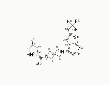 C[C@@H]1CN[C@H](C(=O)N2CC3(C2)CN(c2ncnc4sc(CC(F)(F)F)cc24)C3)C1